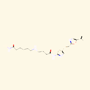 C=C(C)c1cnc(CSc2cnc(NC(=O)CCCNCCCCCC(=O)NO)s2)o1